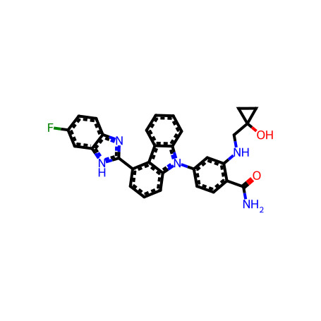 NC(=O)c1ccc(-n2c3ccccc3c3c(-c4nc5ccc(F)cc5[nH]4)cccc32)cc1NCC1(O)CC1